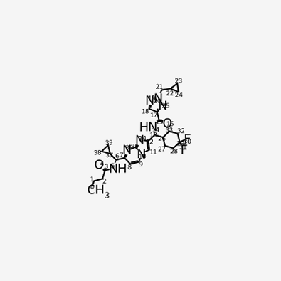 CCCC(=O)N[C@@H](c1ccn2cc([C@@H](NC(=O)c3cnn(CC4CC4)n3)C3CCC(F)(F)CC3)nc2n1)C1CC1